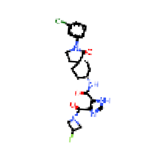 O=C(N[C@H]1CC[C@@]2(CCN(c3cccc(Cl)c3)C2=O)CC1)c1[nH]cnc1C(=O)N1CC(F)C1